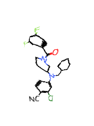 N#Cc1ccc(N(CC2CCCCC2)C2CCN(C(=O)c3cc(F)cc(F)c3)C2)cc1Cl